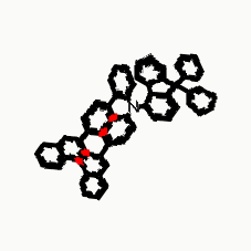 c1ccc(C2(c3ccccc3)c3ccccc3-c3c(N(c4ccc(-c5ccc6ccccc6c5)cc4)c4ccccc4-c4ccc(-c5ccc6ccccc6c5)cc4)cccc32)cc1